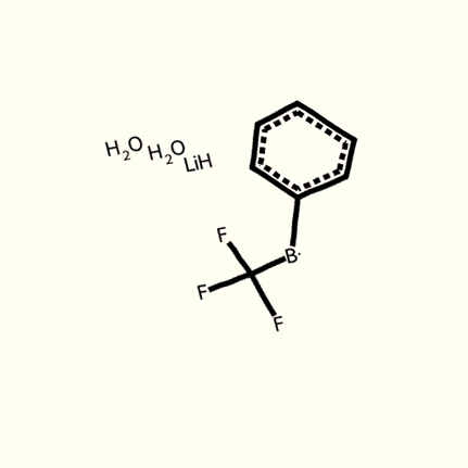 FC(F)(F)[B]c1ccccc1.O.O.[LiH]